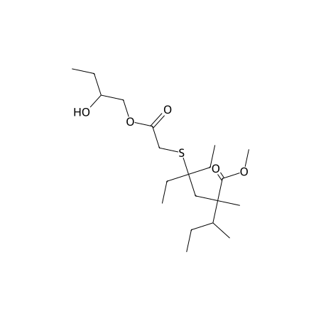 CCC(O)COC(=O)CSC(CC)(CC)CC(C)(C(=O)OC)C(C)CC